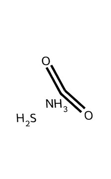 N.O=C=O.S